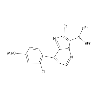 CCCN(CCC)c1c(CC)nc2c(-c3ccc(OC)cc3Cl)ccnn12